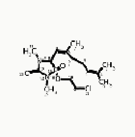 CC(C)=CCCC(C)=CC1N(C)C(=O)N(C)P1(=O)OCCCl